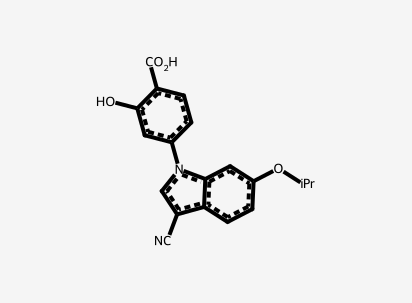 CC(C)Oc1ccc2c(C#N)cn(-c3ccc(C(=O)O)c(O)c3)c2c1